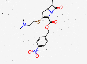 CC(C)C1C(=O)N2C(C(=O)OCc3ccc([N+](=O)[O-])cc3)=C(SCCN(C)C)CC12